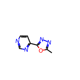 Cc1nnc(-c2ccncn2)o1